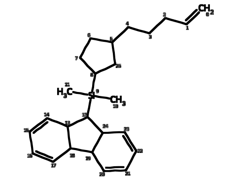 C=CCCCC1CCC([Si](C)(C)C2C3C=CC=CC3C3C=CC=CC32)C1